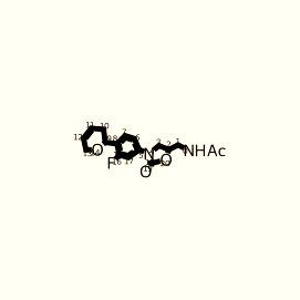 CC(=O)NCC1CN(c2ccc(C3CC=CCO3)c(F)c2)C(=O)O1